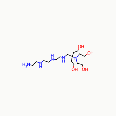 NCCNCCNCCNCC(CCO)(CCO)N(CCO)CCO